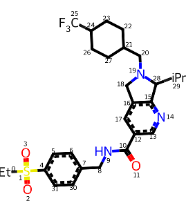 CCS(=O)(=O)c1ccc(CNC(=O)c2cnc3c(c2)CN(CC2CCC(C(F)(F)F)CC2)C3C(C)C)cc1